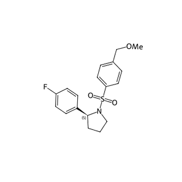 COCc1ccc(S(=O)(=O)N2CCC[C@H]2c2ccc(F)cc2)cc1